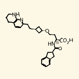 O=C(N[C@@H](CCO[C@H]1C[C@H](CCc2ccc3c(n2)NCCC3)C1)C(=O)O)C1Cc2ccccc2C1